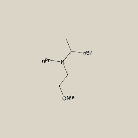 CCCCC(C)N(CCC)CCOC